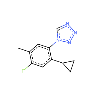 Cc1cc(-n2cnnn2)c(C2CC2)cc1F